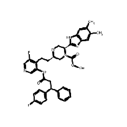 Cc1cc2nc([C@@H]3CO[C@H](CCc4c(F)cncc4NC(=O)CC(c4ccccc4)c4ccc(F)cc4)CN3C(=O)OC(C)(C)C)[nH]c2cc1C